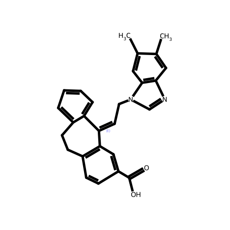 Cc1cc2ncn(C/C=C3\c4ccccc4CCc4ccc(C(=O)O)cc43)c2cc1C